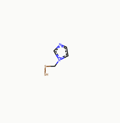 SSCn1ccnc1